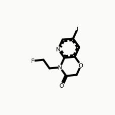 O=C1COc2cc(I)cnc2N1CCF